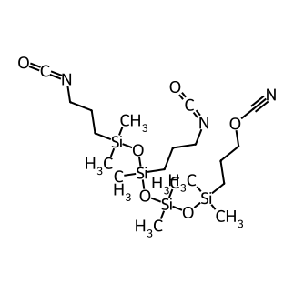 C[Si](C)(CCCOC#N)O[Si](C)(C)O[Si](C)(CCCN=C=O)O[Si](C)(C)CCCN=C=O